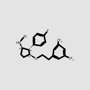 CCN[C@@H]1CC[C@H](OCCc2cc(C(F)(F)F)cc(C(F)(F)F)c2)[C@H]1c1ccc(F)cc1